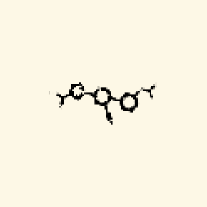 N#Cc1cc(-n2cc(C(=O)O)cn2)ncc1-c1cccc(OC(F)F)c1